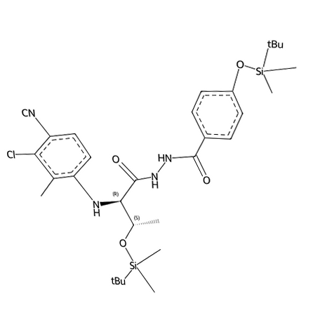 [C-]#[N+]c1ccc(N[C@@H](C(=O)NNC(=O)c2ccc(O[Si](C)(C)C(C)(C)C)cc2)[C@H](C)O[Si](C)(C)C(C)(C)C)c(C)c1Cl